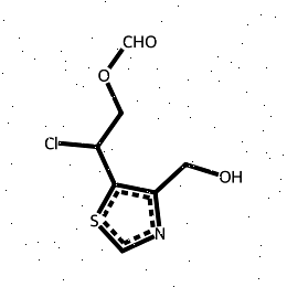 O=COCC(Cl)c1scnc1CO